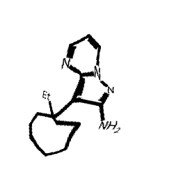 CCC1(c2c(N)nn3cccnc23)CCCCC1